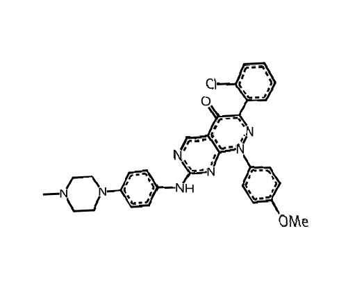 COc1ccc(-n2nc(-c3ccccc3Cl)c(=O)c3cnc(Nc4ccc(N5CCN(C)CC5)cc4)nc32)cc1